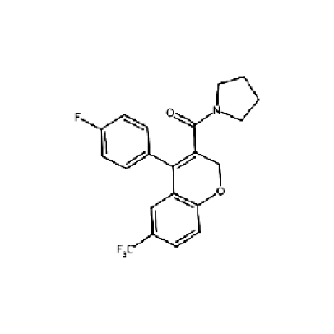 O=C(C1=C(c2ccc(F)cc2)c2cc(C(F)(F)F)ccc2OC1)N1CCCC1